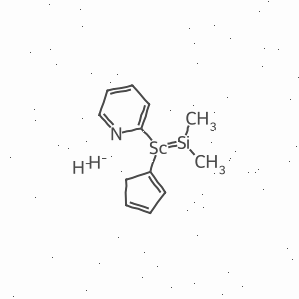 C[Si](C)=[Sc]([C]1=CC=CC1)[c]1ccccn1.[H-].[H-]